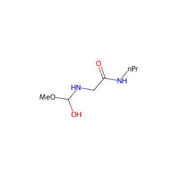 CCCNC(=O)CNC(O)OC